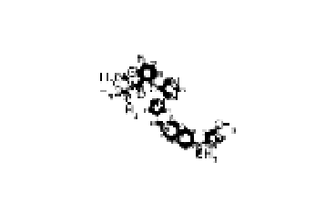 Cc1cc(N(C)C2CCC3(CC2)CCN(C[C@@H]2CCN(c4ncncc4Oc4ccc(F)cc4C(=O)N(C(C)C)C(C)C)C2)CC3)no1